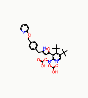 CC(C)(C)c1cnc(N(OC(=O)O)OC(=O)O)c(-c2cc(Cc3ccc(COc4ccccn4)cc3)no2)c1C(C)(C)C